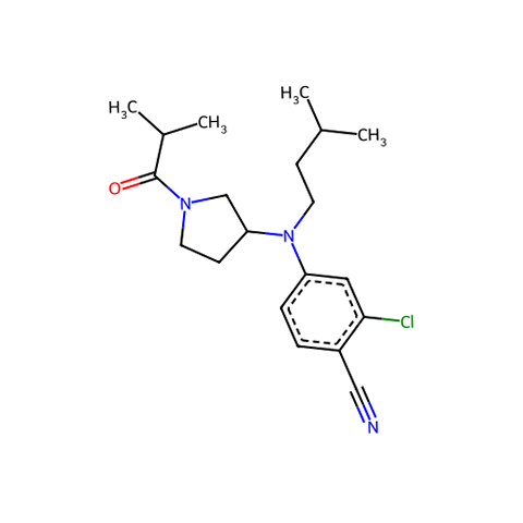 CC(C)CCN(c1ccc(C#N)c(Cl)c1)C1CCN(C(=O)C(C)C)C1